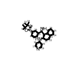 CC1(C)OB(c2cccc(C(=N)c3c(Nc4ccncc4)ccc4ccccc34)c2)OC1(C)C